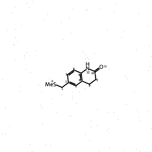 CSCc1ccc2c(c1)CCC(=O)N2